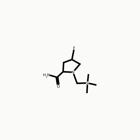 C[Si](C)(C)CN1CC(F)CC1C(N)=O